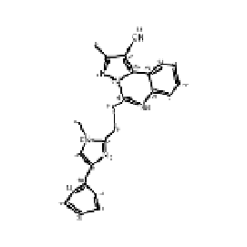 Cc1nn2c(SCc3nc(-c4ccccc4)cn3C)nc3ccccc3c2c1C#N